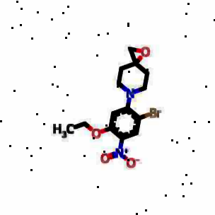 CCOc1cc(N2CCC3(CC2)CO3)c(Br)cc1[N+](=O)[O-]